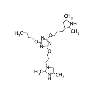 CCCCOc1nc(OCCCC2CC(C)NC2C)nc(OCCCN2CC(C)NC2C)n1